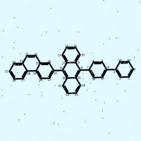 c1ccc(-c2ccc(-c3c4ccccc4c(-c4ccc5c(ccc6ccccc65)c4)c4ccccc34)cc2)cc1